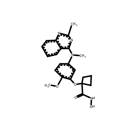 COc1ccc(N(C)c2nc(C)nc3ccccc23)cc1OC1(C(=O)NO)CCC1